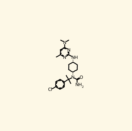 Cc1cc(N(C)C)nc(N[C@H]2CC[C@@H](N(C(N)=O)C(C)(C)c3ccc(Cl)cc3)CC2)n1